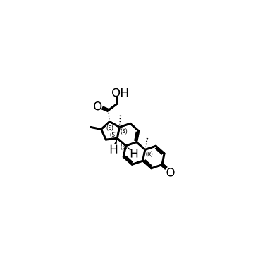 CC1C[C@H]2[C@@H]3C=CC4=CC(=O)C=C[C@]4(C)C3=CC[C@]2(C)[C@H]1C(=O)CO